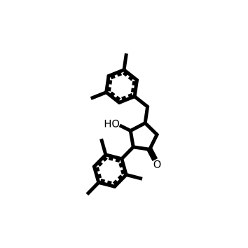 Cc1cc(C)cc(CC2CC(=O)C(c3c(C)cc(C)cc3C)C2O)c1